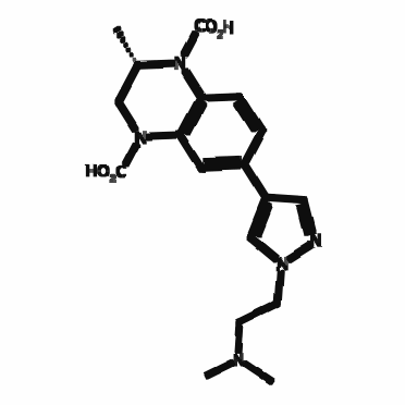 C[C@H]1CN(C(=O)O)c2cc(-c3cnn(CCN(C)C)c3)ccc2N1C(=O)O